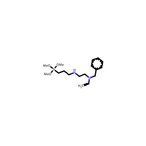 C=CN(CCNCCC[Si](OC)(OC)OC)Cc1ccccc1